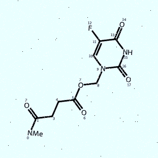 CNC(=O)CCC(=O)OCn1cc(F)c(=O)[nH]c1=O